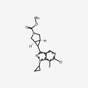 CC(C)(C)OC(=O)N1C[C@@H]2C(c3nn(C4CC4)c4c(F)c(Cl)ncc34)[C@@H]2C1